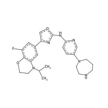 CC(C)N1CCOc2c(F)cc(-c3coc(Nc4ccc(N5CCCNCC5)cn4)n3)cc21